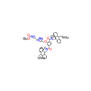 CNCc1c2ccccc2c(CN(C)C(=O)c2ccc(C(=O)N(C)Cc3c4ccccc4c(CNC)c4ccccc34)c(OCc3cn(CCCNC(=O)OC(C)(C)C)nn3)c2)c2ccccc12